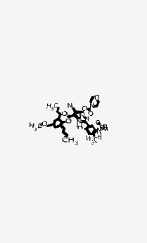 CCCCC1CC(COC)CC(CCCC)C1OC(=O)c1c(C#N)c(OC(=O)N2CCOCC2)n2nc(-c3ccc(C)c(N[SH](=O)=O)c3)[nH]c12